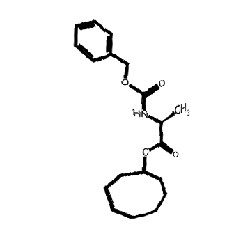 C[C@H](NC(=O)OCc1ccccc1)C(=O)OC1CCCCCCC1